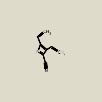 C=CC1=C(C=C)C(C#N)=N1